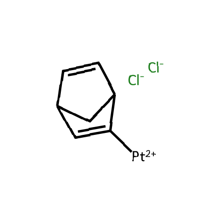 [Cl-].[Cl-].[Pt+2][C]1=CC2C=CC1C2